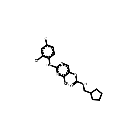 O=C(NCC1CCCC1)Oc1cnc(Nc2ccc(Cl)cc2Cl)nc1C(F)(F)F